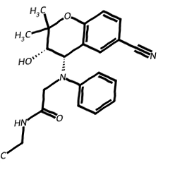 CCNC(=O)CN(c1ccccc1)[C@H]1c2cc(C#N)ccc2OC(C)(C)[C@H]1O